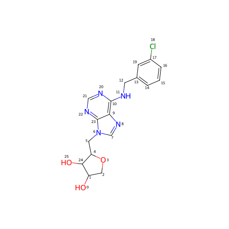 OC1COC(Cn2cnc3c(NCc4cccc(Cl)c4)ncnc32)C1O